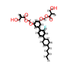 C=C(CO)C(=O)OCOc1cc(OCOC(=O)C(C)CO)cc(-c2ccc(C3CCC(CCCCC)CC3)cc2F)c1